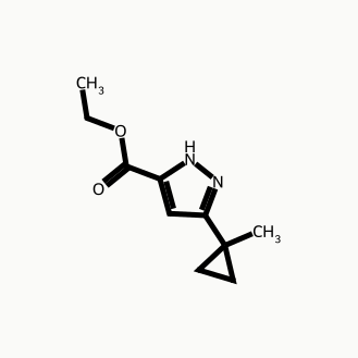 CCOC(=O)c1cc(C2(C)CC2)n[nH]1